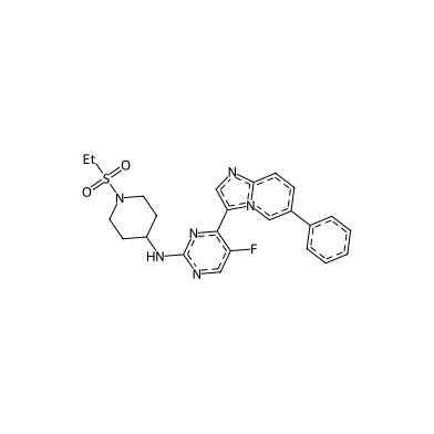 CCS(=O)(=O)N1CCC(Nc2ncc(F)c(-c3cnc4ccc(-c5ccccc5)cn34)n2)CC1